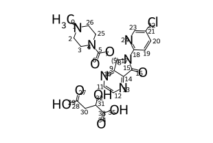 CN1CCN(C(=O)O[C@H]2c3nccnc3C(=O)N2c2ccc(Cl)cn2)CC1.O=C(O)CC(O)C(=O)O